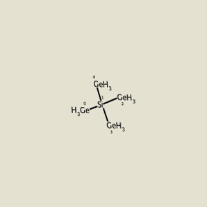 [GeH3][Si]([GeH3])([GeH3])[GeH3]